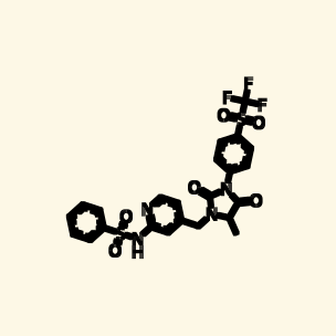 CC1C(=O)N(c2ccc(S(=O)(=O)C(F)(F)F)cc2)C(=O)N1Cc1ccnc(NS(=O)(=O)c2ccccc2)c1